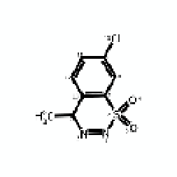 CC1N=NS(=O)(=O)c2cc(Cl)ccc21